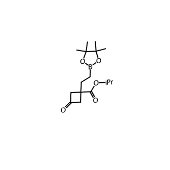 CC(C)OC(=O)C1(CCB2OC(C)(C)C(C)(C)O2)CC(=O)C1